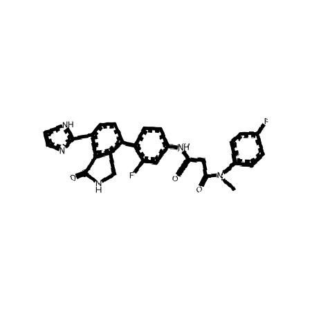 CN(C(=O)CC(=O)Nc1ccc(-c2ccc(-c3ncc[nH]3)c3c2CNC3=O)c(F)c1)c1ccc(F)cc1